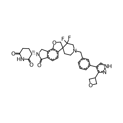 O=C1CC[C@H](N2Cc3c(ccc4c3OCC43CCN(Cc4cccc(-c5c[nH]nc5C5COC5)c4)CC3(F)F)C2=O)C(=O)N1